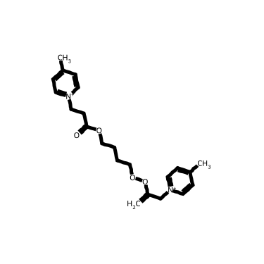 C=C(C[n+]1ccc(C)cc1)OOCCCCOC(=O)CC[n+]1ccc(C)cc1